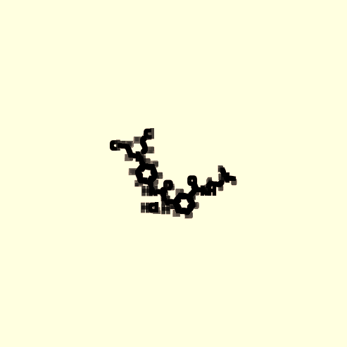 CN(C)CCNC(=O)c1cccc(NC(=O)Nc2ccc(N(CCCl)CCCl)cc2)c1.Cl